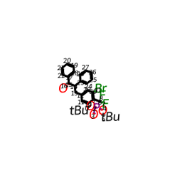 CC(C)(C)OP(=O)(OC(C)(C)C)C(F)(F)c1ccc(CC(C(=O)c2ccccc2)c2ccccc2)cc1Br